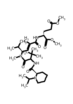 COC(=O)CC[C@@H](NC(=O)/C(C)=C/[C@H](C(C)C)N(C)C(=O)C(NC(=O)[C@H]1CCCCN1C(C)C)C(C)(C)C)C(=O)OC